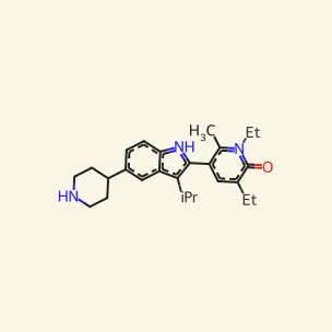 CCc1cc(-c2[nH]c3ccc(C4CCNCC4)cc3c2C(C)C)c(C)n(CC)c1=O